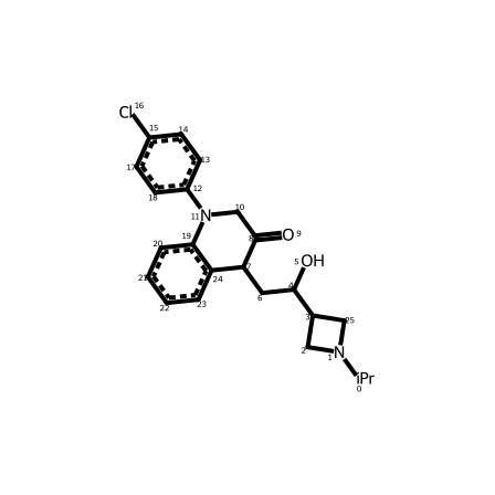 CC(C)N1CC(C(O)CC2C(=O)CN(c3ccc(Cl)cc3)c3ccccc32)C1